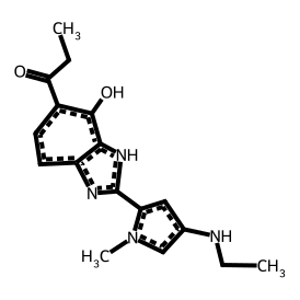 CCNc1cc(-c2nc3ccc(C(=O)CC)c(O)c3[nH]2)n(C)c1